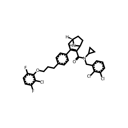 O=C(C1=C(c2ccc(CCCOc3c(F)ccc(F)c3Cl)cc2)C[C@@H]2CCC1N2)N(Cc1cccc(Cl)c1Cl)C1CC1